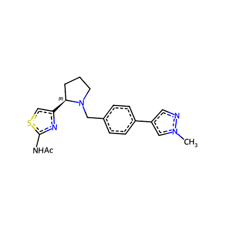 CC(=O)Nc1nc([C@H]2CCCN2Cc2ccc(-c3cnn(C)c3)cc2)cs1